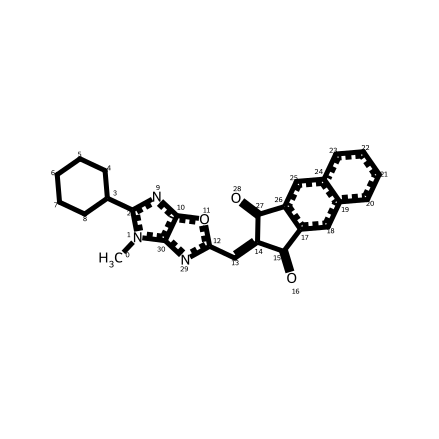 Cn1c(C2CCCCC2)nc2oc(C=C3C(=O)c4cc5ccccc5cc4C3=O)nc21